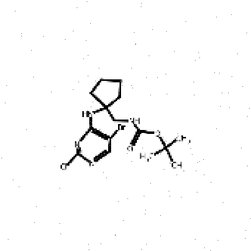 CC(C)(C)OC(=O)NCC1(Nc2nc(Cl)ncc2Br)CCCC1